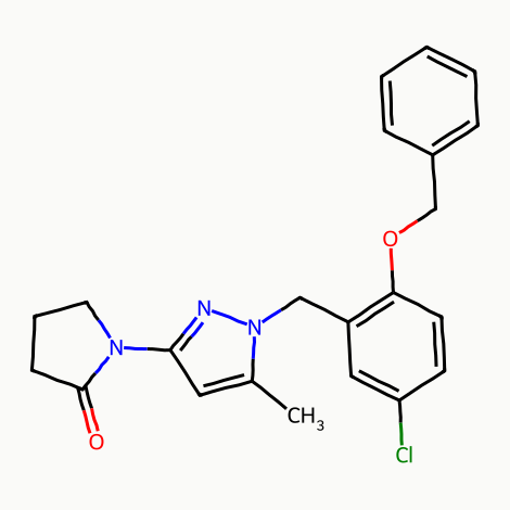 Cc1cc(N2CCCC2=O)nn1Cc1cc(Cl)ccc1OCc1ccccc1